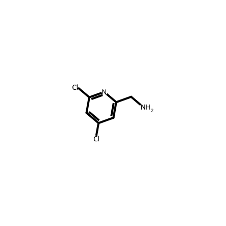 NCc1cc(Cl)cc(Cl)n1